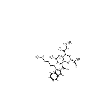 COCCCCn1c(C(=O)N(CC(C)C)[C@H]2CC(C(O)COC)CN(C(=O)O)C2)nc2ccccc21